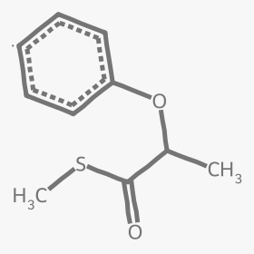 CSC(=O)C(C)Oc1cc[c]cc1